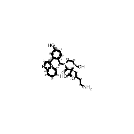 NCCCC[C@@]1(C(=O)O)C(=O)N(Cc2ccc(O)cc2-c2cnc3ccccn23)CCP1O